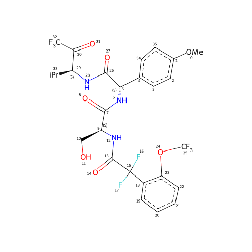 COc1ccc([C@H](NC(=O)[C@H](CO)NC(=O)C(F)(F)c2ccccc2OC(F)(F)F)C(=O)N[C@H](C(=O)C(F)(F)F)C(C)C)cc1